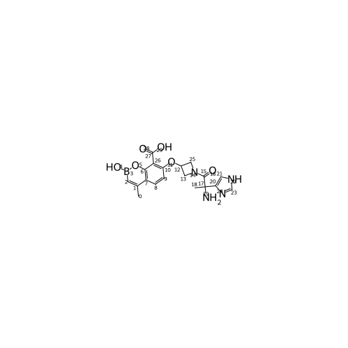 CC1=CB(O)Oc2c1ccc(OC1CN(C(=O)C(C)(N)c3c[nH]cn3)C1)c2C(=O)O